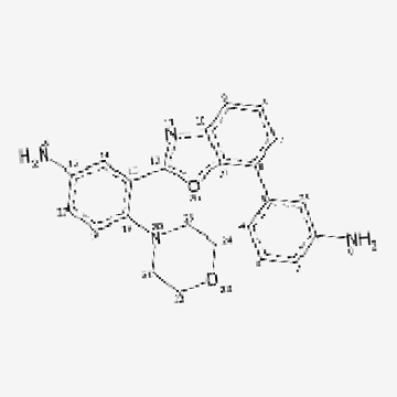 Nc1cccc(-c2cccc3nc(-c4cc(N)ccc4N4CCOCC4)oc23)c1